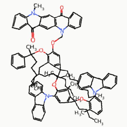 CCCCCCCC1(C(C)(CCCC)Oc2c(-n3c4ccccc4c4ccccc43)cc3c(c2C)C3(CCCC)Oc2c(C)cccc2-n2c3ccccc3c3ccccc32)c2cc(OCn3c4ccccc4c(=O)c4cc5c(cc43)c(=O)c3ccccc3n5C)c(OC(C)(CCCCC)c3ccccc3)c(CC(CC)CCCC)c21